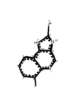 Cc1cccc2c1ncc1nc(C(C)C)[nH]c12